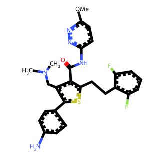 COc1ccc(NC(=O)c2c(CCc3c(F)cccc3F)sc(-c3ccc(N)cc3)c2CN(C)C)nn1